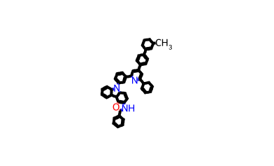 CC1C=C(c2ccc(-c3cc(-c4cccc(N5C6C=CC=CC6C6C7=C(C=CC65)NC(c5ccccc5)O7)c4)nc(C4C=CC=CC4)c3)cc2)CCC1